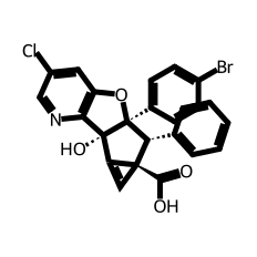 O=C(O)[C@@]12C=C1[C@@]1(O)c3ncc(Cl)cc3O[C@@]1(c1ccc(Br)cc1)[C@@H]2c1ccccc1